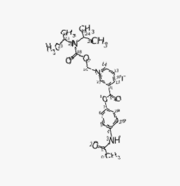 CC(=O)Nc1ccc(OC(=O)c2ccc[n+](COC(=O)N(C(C)C)C(C)C)c2)cc1.[I-]